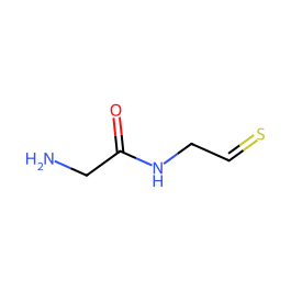 NCC(=O)NCC=S